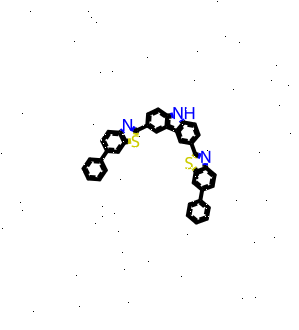 c1ccc(-c2ccc3nc(-c4ccc5[nH]c6ccc(-c7nc8ccc(-c9ccccc9)cc8s7)cc6c5c4)sc3c2)cc1